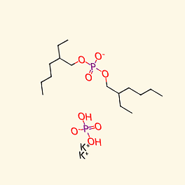 CCCCC(CC)COP(=O)([O-])OCC(CC)CCCC.O=P([O-])(O)O.[K+].[K+]